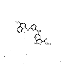 COC(=O)c1n[nH]c2ccc(Nc3nccc(Oc4ccc(N)c5ccccc45)n3)cc12